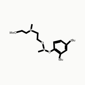 COCCN(C)CCOP(C)Oc1ccc(C(C)(C)C)cc1C(C)(C)C